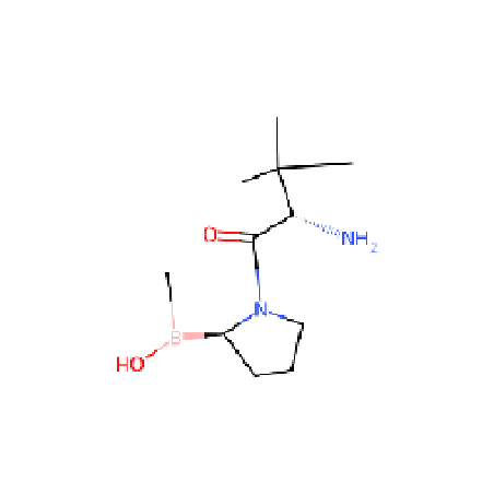 CB(O)[C@@H]1CCCN1C(=O)[C@@H](N)C(C)(C)C